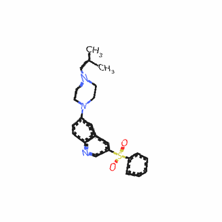 CC(C)CN1CCN(c2ccc3ncc(S(=O)(=O)c4ccccc4)cc3c2)CC1